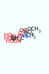 CC1=C(C(=O)OCC[C@@H]2O[C@H](CO)[C@@H](O)[C@H](O)[C@H]2O)C(c2ccccc2OCc2ccc(C)cc2)C([N+](=O)[O-])=C(C)N1